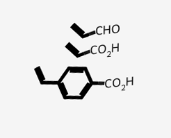 C=CC(=O)O.C=CC=O.C=Cc1ccc(C(=O)O)cc1